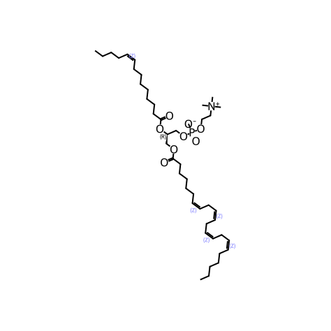 CCCC/C=C\CCCCCCCC(=O)O[C@H](COC(=O)CCCCC/C=C\C/C=C\C/C=C\C/C=C\CCCCC)COP(=O)([O-])OCC[N+](C)(C)C